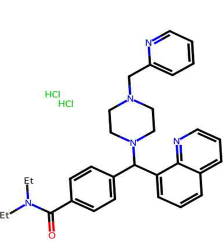 CCN(CC)C(=O)c1ccc(C(c2cccc3cccnc23)N2CCN(Cc3ccccn3)CC2)cc1.Cl.Cl